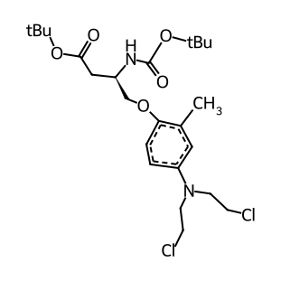 Cc1cc(N(CCCl)CCCl)ccc1OC[C@@H](CC(=O)OC(C)(C)C)NC(=O)OC(C)(C)C